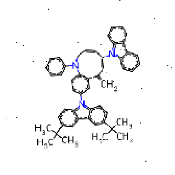 C=C1/C=C(n2c3ccccc3c3ccccc32)\C=C/CN(c2ccccc2)c2ccc(-n3c4ccc(C(C)(C)C)cc4c4cc(C(C)(C)C)ccc43)cc21